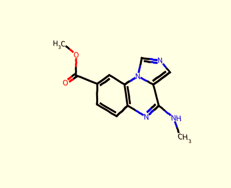 CNc1nc2ccc(C(=O)OC)cc2n2cncc12